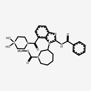 CC(C)(C)OC(=O)N1CCCCC(n2c(NC(=O)c3ccccc3)nc3cccc(C(=O)N4CCS(O)(O)CC4)c32)C1